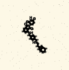 O=C1CCC(N2C(=O)c3cccc(NCc4ccc(CNCCC5CC6CCCC(C6)C5)cc4)c3C2=O)C(=O)N1